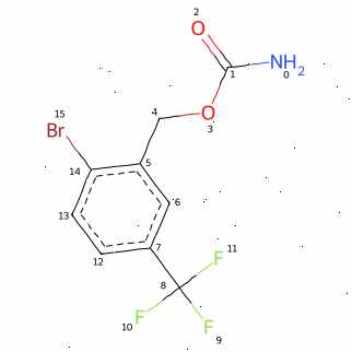 NC(=O)OCc1cc(C(F)(F)F)ccc1Br